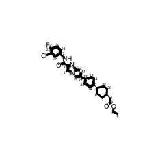 CCOC(=O)C[C@H]1CC[C@H](c2ccc(-c3cn4cc(C(=O)Nc5ccc(F)c(Cl)c5)nc4s3)cc2)CC1